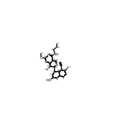 C#Cc1c(F)ccc2cc(O)cc(-c3ncc4c(NCCC)nc(OC)nc4c3F)c12